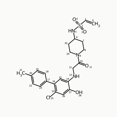 C=CS(=O)(=O)NC1CCN(C(=O)CNc2cc(-c3ccc(C)cc3)c(Cl)cc2O)CC1